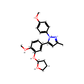 COc1ccc(-n2nc(C)cc2-c2ccc(OC)c(OC3CCCO3)c2)cc1